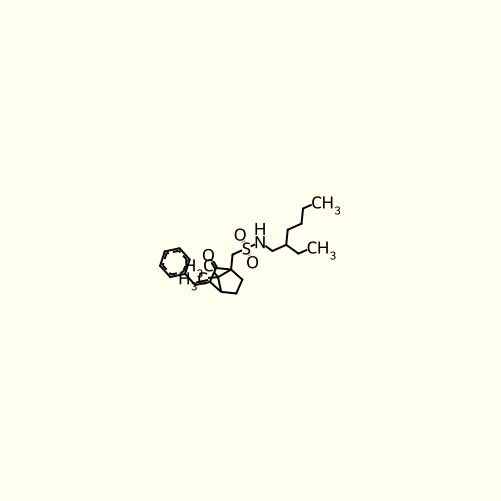 CCCCC(CC)CNS(=O)(=O)CC12CCC(/C(=C/c3ccccc3)C1=O)C2(C)C